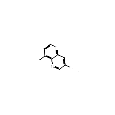 Nc1cnc2c(Cl)ccnc2c1